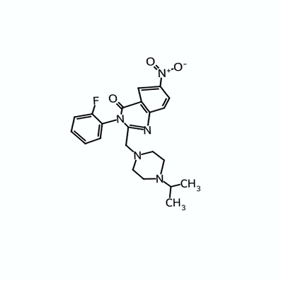 CC(C)N1CCN(Cc2nc3ccc([N+](=O)[O-])cc3c(=O)n2-c2ccccc2F)CC1